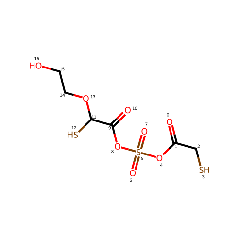 O=C(CS)OS(=O)(=O)OC(=O)C(S)OCCO